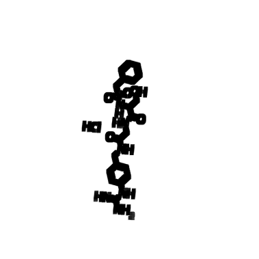 Cl.N=C(N)Nc1ccc(CNC(=O)CNC(=O)C(CO)NS(=O)(=O)Cc2ccccc2)cc1